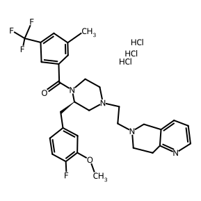 COc1cc(C[C@@H]2CN(CCN3CCc4ncccc4C3)CCN2C(=O)c2cc(C)cc(C(F)(F)F)c2)ccc1F.Cl.Cl.Cl